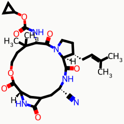 CC(C)=CC[C@H]1CCN2C(=O)[C@@H](NC(=O)OC3CC3)C(C)(C)CCOC(=O)[C@@H]3CC(C[C@@H](C#N)NC(=O)[C@H]12)C(=O)N3